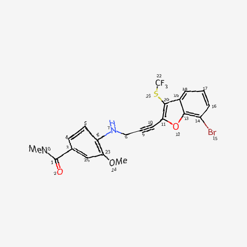 CNC(=O)c1ccc(NCC#Cc2oc3c(Br)cccc3c2SC(F)(F)F)c(OC)c1